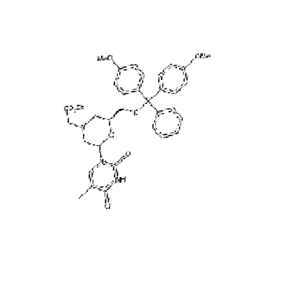 CCOC(=O)CN1C[C@@H](COC(c2ccccc2)(c2ccc(OC)cc2)c2ccc(OC)cc2)O[C@@H](n2cc(C)c(=O)[nH]c2=O)C1